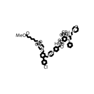 COC(=O)CCCCCCS(=O)(=O)N1CCN(C[C@]2(C)CCC(c3ccc(Cl)cc3)=C(CN3CCN(c4ccc(C(=O)NS(=O)(=O)c5ccc(N[C@H](CCN6CCCOCC6)CSc6ccccc6)c(S(=O)(=O)C(F)(F)F)c5)cc4)CC3)C2)CC1